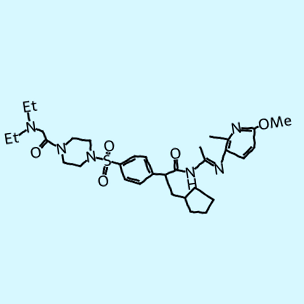 CCN(CC)CC(=O)N1CCN(S(=O)(=O)c2ccc(C(CC3CCCC3)C(=O)N/C(C)=N/c3ccc(OC)nc3C)cc2)CC1